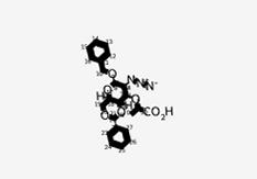 CC(O[C@@H]1[C@@H](N=[N+]=[N-])[C@@H](OCc2ccccc2)O[C@@H]2CO[C@@H](c3ccccc3)O[C@@H]12)C(=O)O